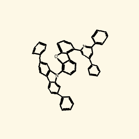 c1ccc(-c2cc(-c3ccccc3)nc(-c3cccc4oc5c(-n6c7cc(-c8ccccc8)ccc7c7ccc(-c8ccccc8)cc76)cccc5c34)c2)cc1